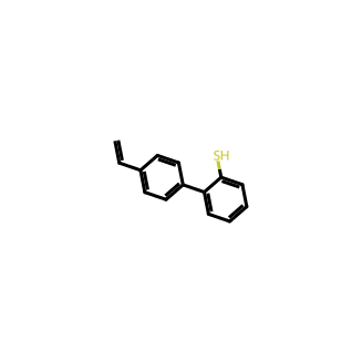 C=Cc1ccc(-c2ccccc2S)cc1